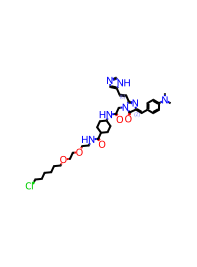 CN(C)c1ccc(/C=C2N=C(/C=C/c3cnc[nH]3)N(CC(=O)NC3CCC(C(=O)NCCOCCOCCCCCCCl)CC3)C\2=O)cc1